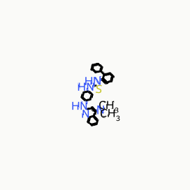 CN(C)c1cc(NC2CCC(NC(=S)Nc3ccccc3-c3ccccc3)CC2)nc2ccccc12